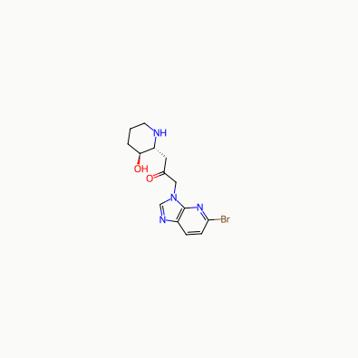 O=C(C[C@H]1NCCC[C@@H]1O)Cn1cnc2ccc(Br)nc21